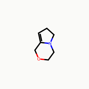 C1=C2COCCN2CC1